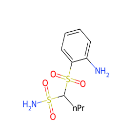 CCCC(S(N)(=O)=O)S(=O)(=O)c1ccccc1N